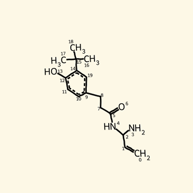 C=CC(N)NC(=O)CCc1ccc(O)c(C(C)(C)C)c1